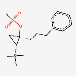 C[Si](C)(C)[C@@H]1C[C@@]1(CCCc1ccccc1)OS(C)(=O)=O